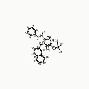 CN(Cc1ccccc1)C(=O)[C@H](Cc1ccc2ccccc2c1)NC(=O)OC(C)(C)C